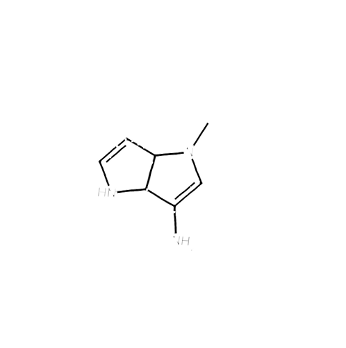 CN1C=C(N)C2NC=CC21